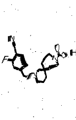 N#Cc1ccc(CN2CCCC3(CCN(C(=O)O)CC3)C2)cc1F